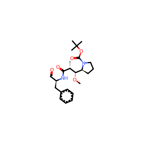 CO[C@H]([C@@H](C)C(=O)N[C@H](C=O)Cc1ccccc1)[C@@H]1CCCN1C(=O)OC(C)(C)C